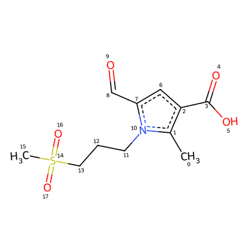 Cc1c(C(=O)O)cc(C=O)n1CCCS(C)(=O)=O